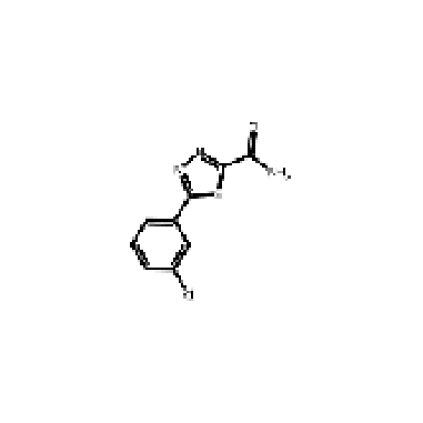 NC(=O)c1nnc(-c2cccc(Cl)c2)s1